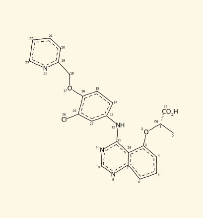 C[C@H](Oc1cccc2ncnc(Nc3ccc(OCc4ccccn4)c(Cl)c3)c12)C(=O)O